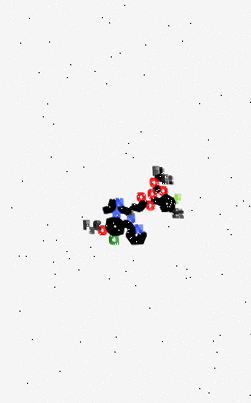 CCC(CC)OC(=O)OC(OC(=O)CC[C@@H]1N=C(c2ccccn2)c2cc(Cl)c(OC(F)(F)F)cc2-n2c(C)cnc21)C1CC(F)C(CC)C1